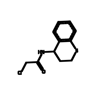 O=C(CCl)NC1CCSc2ccccc21